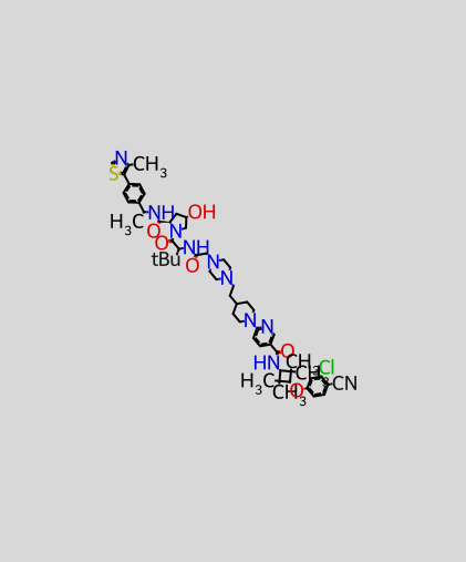 Cc1ncsc1-c1ccc([C@H](C)NC(=O)[C@H]2C[C@@H](O)CN2C(=O)C(NC(=O)CN2CCN(CCC3CCN(c4ccc(C(=O)N[C@H]5C(C)(C)[C@H](Oc6ccc(C#N)c(Cl)c6)C5(C)C)cn4)CC3)CC2)C(C)(C)C)cc1